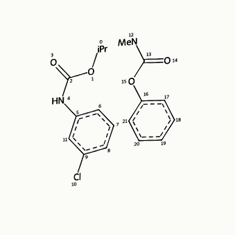 CC(C)OC(=O)Nc1cccc(Cl)c1.CNC(=O)Oc1ccccc1